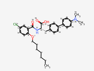 CCCCCCCOc1ccc(Cl)cc1C(=O)N[C@@H](Cc1ccc(-c2ccc(N(C)C)cc2)cc1)C(=O)O